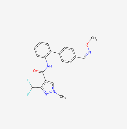 CO/N=C\c1ccc(-c2ccccc2NC(=O)c2cn(C)nc2C(F)F)cc1